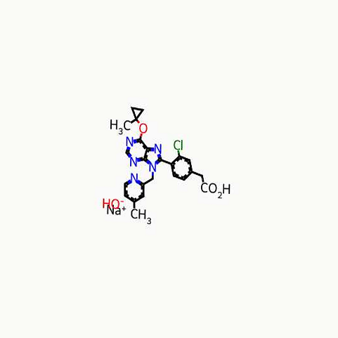 Cc1ccnc(Cn2c(-c3ccc(CC(=O)O)cc3Cl)nc3c(OC4(C)CC4)ncnc32)c1.[Na+].[OH-]